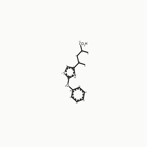 CC(CC(C)c1csc(Oc2ccccc2)n1)C(=O)O